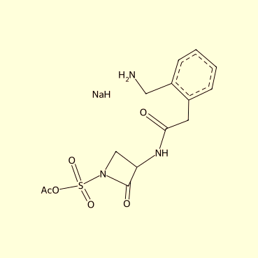 CC(=O)OS(=O)(=O)N1CC(NC(=O)Cc2ccccc2CN)C1=O.[NaH]